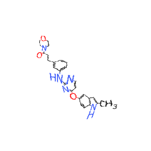 Cc1cc2cc(Oc3ccnc(Nc4cccc(CCC(=O)N5CCOCC5)c4)n3)ccc2[nH]1